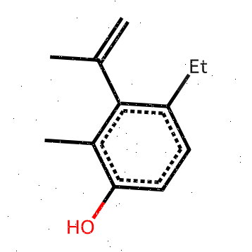 C=C(C)c1c(CC)ccc(O)c1C